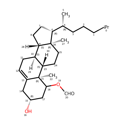 CC(C)CCC[C@@H](C)[C@H]1CC[C@H]2[C@@H]3CC=C4C[C@@H](O)CC(OC=O)[C@]4(C)[C@H]3CC[C@]12C